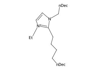 CCCCCCCCCCCCCCc1n(CCCCCCCCCCC)cc[n+]1CC